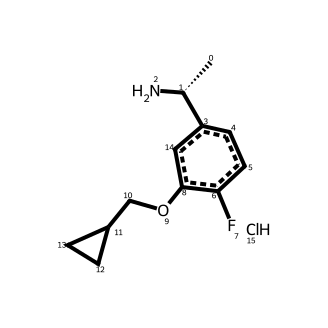 C[C@@H](N)c1ccc(F)c(OCC2CC2)c1.Cl